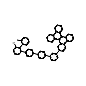 Cc1ccccc1-c1c(S)cccc1-c1ccc(-c2ccc(-c3cccc(-c4ccc5c6ccccc6c6c7ccccc7c7ccccc7c6c5c4)c3)cc2)cc1